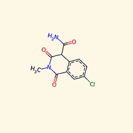 CN1C(=O)c2cc(Cl)ccc2C(C(N)=O)C1=O